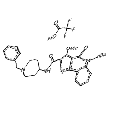 CCCCn1c(=O)c2c(OC)c(C(=O)NC3CCN(Cc4ccccc4)CC3)sc2c2ccccc21.O=C(O)C(F)(F)F